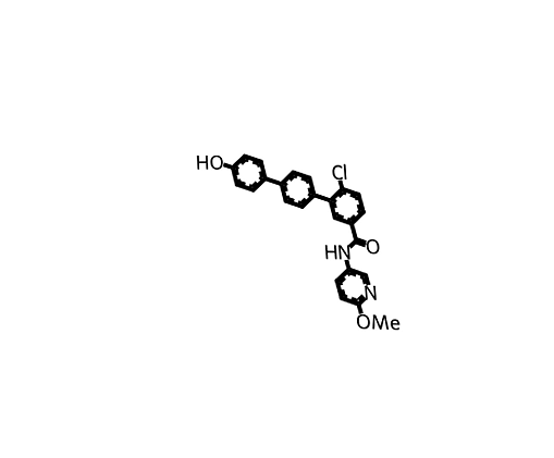 COc1ccc(NC(=O)c2ccc(Cl)c(-c3ccc(-c4ccc(O)cc4)cc3)c2)cn1